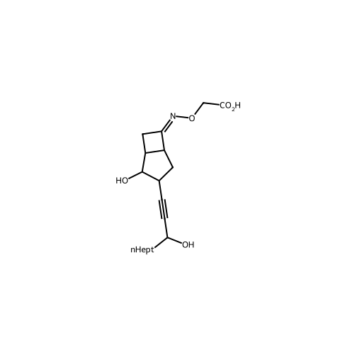 CCCCCCCC(O)C#CC1CC2/C(=N\OCC(=O)O)CC2C1O